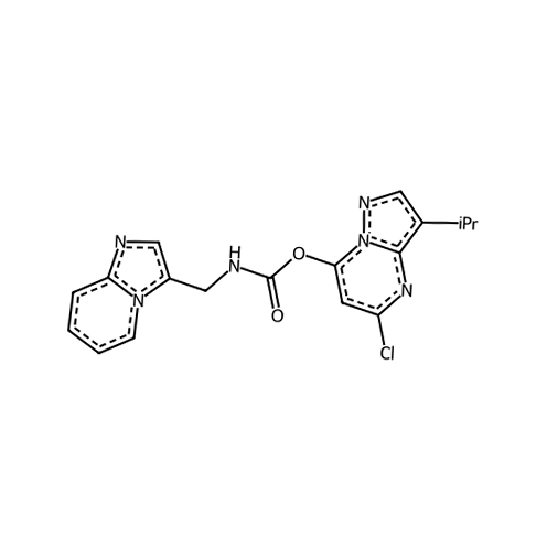 CC(C)c1cnn2c(OC(=O)NCc3cnc4ccccn34)cc(Cl)nc12